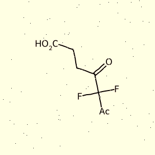 CC(=O)C(F)(F)C(=O)CCC(=O)O